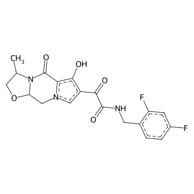 CC1COC2Cn3cc(C(=O)C(=O)NCc4ccc(F)cc4F)c(O)c3C(=O)N12